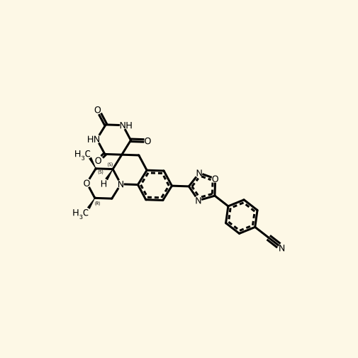 C[C@@H]1CN2c3ccc(-c4noc(-c5ccc(C#N)cc5)n4)cc3CC3(C(=O)NC(=O)NC3=O)[C@H]2[C@H](C)O1